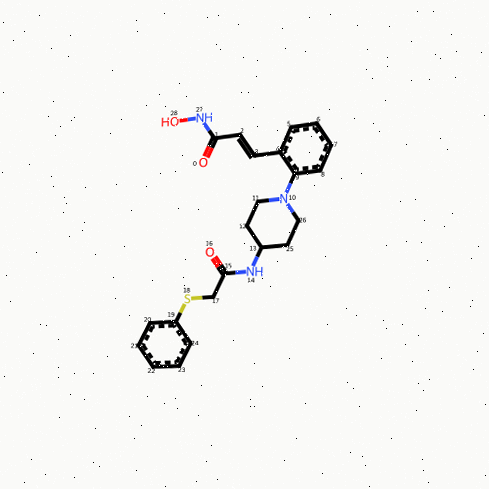 O=C(C=Cc1ccccc1N1CCC(NC(=O)CSc2ccccc2)CC1)NO